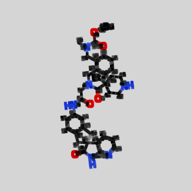 CCC1(C(=O)N(CC(=O)Nc2ccc3c(c2)C[C@@]2(C3)C(=O)Nc3ncccc32)Cc2ccccc2CN(C)C(=O)OC(C)(C)C)CCNCC1